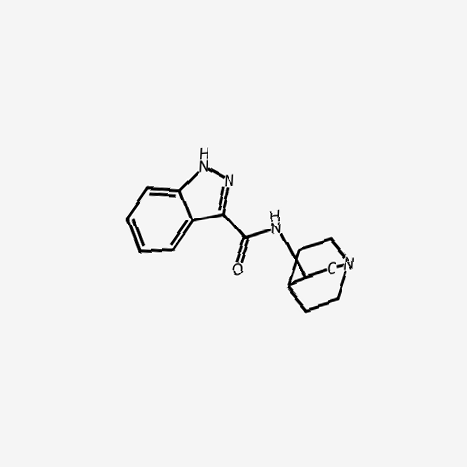 O=C(NC1CN2CCC1CC2)c1n[nH]c2ccccc12